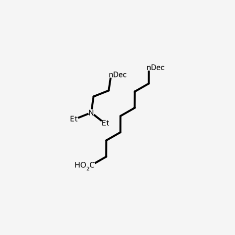 CCCCCCCCCCCCCCCCCC(=O)O.CCCCCCCCCCCCN(CC)CC